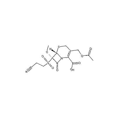 CO[C@@]1(S(=O)(=O)CCC#N)C(=O)N2C(C(=O)O)=C(COC(C)=O)CS[C@H]21